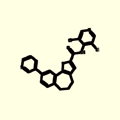 O=C(Nc1c(Cl)cncc1Cl)c1cc2c(s1)-c1cc(-c3cccnc3)ccc1CCC2